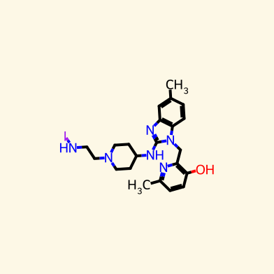 Cc1ccc2c(c1)nc(NC1CCN(CCNI)CC1)n2Cc1nc(C)ccc1O